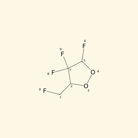 FCC1OOC(F)C1(F)F